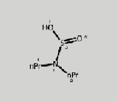 CCCN(CCC)S(=O)O